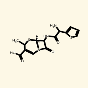 CC1S[C@@H]2C(NC(=O)C(N)c3cccs3)C(=O)N2C=C1C(=O)O